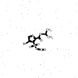 CC(C)OC(=O)c1scc(Br)c1S(=O)(=O)N=C=O